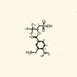 BCc1cc(C(=O)OC(CS(=O)(=O)O)C(F)(F)F)ccc1N(C)C